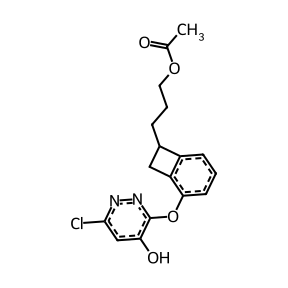 CC(=O)OCCCC1Cc2c(Oc3nnc(Cl)cc3O)cccc21